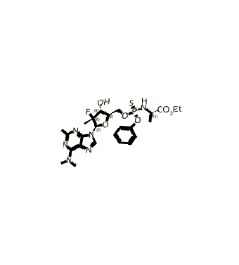 CCOC(=O)[C@H](C)N[P@](=S)(OC[C@H]1O[C@@H](n2cnc3c(N(C)C)nc(C)nc32)[C@](C)(F)[C@@H]1O)Oc1ccccc1